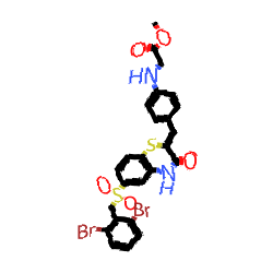 COC(=O)CNc1ccc(C=C2Sc3ccc(S(=O)(=O)Cc4c(Br)cccc4Br)cc3NC2=O)cc1